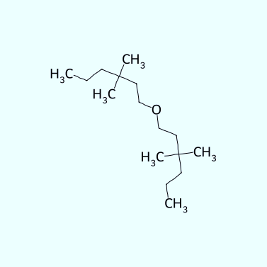 CCCC(C)(C)CCOCCC(C)(C)CCC